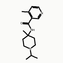 Cc1ccncc1C(=O)NC1(C)CCN(C(C)C)CC1